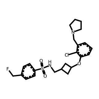 O=S(=O)(NCC1CC(Oc2cccc(CN3CCCC3)c2Cl)C1)c1ccc(CF)cc1